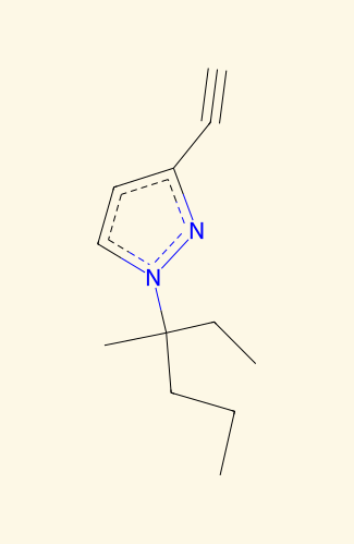 C#Cc1ccn(C(C)(CC)CCC)n1